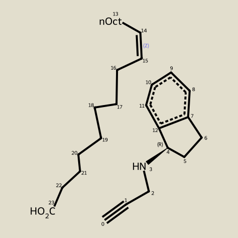 C#CCN[C@@H]1CCc2ccccc21.CCCCCCCC/C=C\CCCCCCCC(=O)O